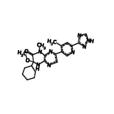 COC1(C2CCCCC2)Nc2ncc(-c3cnc(-c4nc[nH]n4)cc3C)nc2N(C)C1=O